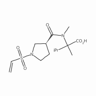 C=CS(=O)(=O)N1CC[C@H](C(=O)N(C)C(C)(C(=O)O)C(C)C)C1